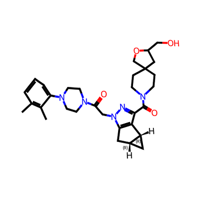 Cc1cccc(N2CCN(C(=O)Cn3nc(C(=O)N4CCC5(CC4)COC(CO)C5)c4c3C[C@H]3C[C@@H]43)CC2)c1C